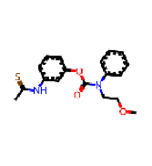 COCCN(C(=O)Oc1cccc(NC(C)=S)c1)c1ccccc1